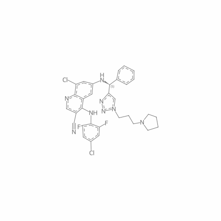 N#Cc1cnc2c(Cl)cc(N[C@@H](c3ccccc3)c3cn(CCCN4CCCC4)nn3)cc2c1Nc1c(F)cc(Cl)cc1F